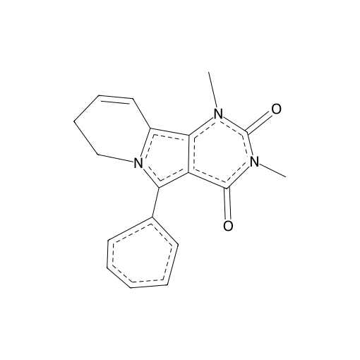 Cn1c(=O)c2c(-c3ccccc3)n3c(c2n(C)c1=O)C=CCC3